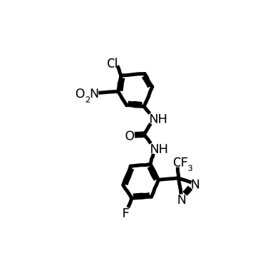 O=C(Nc1ccc(Cl)c([N+](=O)[O-])c1)Nc1ccc(F)cc1C1(C(F)(F)F)N=N1